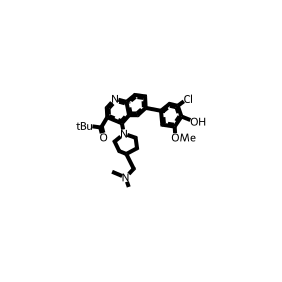 COc1cc(-c2ccc3ncc(C(=O)C(C)(C)C)c(N4CCC(CN(C)C)CC4)c3c2)cc(Cl)c1O